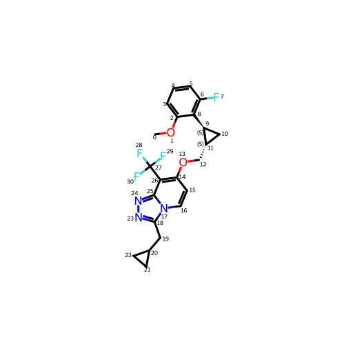 COc1cccc(F)c1[C@H]1C[C@@H]1COc1ccn2c(CC3CC3)nnc2c1C(F)(F)F